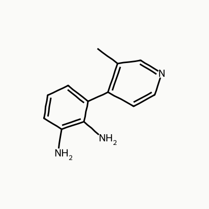 Cc1cnccc1-c1cccc(N)c1N